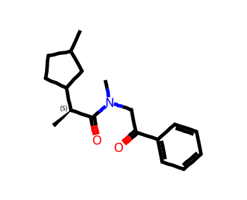 CC1CCC([C@H](C)C(=O)N(C)CC(=O)c2ccccc2)C1